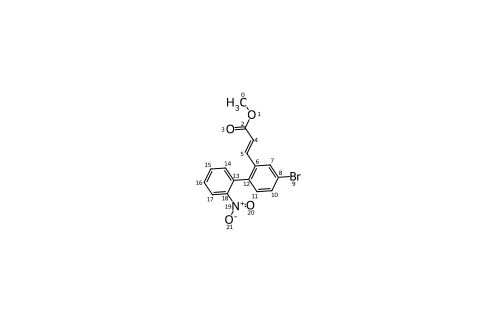 COC(=O)/C=C/c1cc(Br)ccc1-c1ccccc1[N+](=O)[O-]